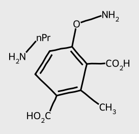 CCCN.Cc1c(C(=O)O)ccc(ON)c1C(=O)O